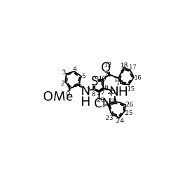 COc1ccccc1Nc1sc(C(=O)c2ccccc2)c(Nc2ccccc2)c1C#N